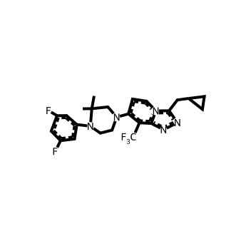 CC1(C)CN(c2ccn3c(CC4CC4)nnc3c2C(F)(F)F)CCN1c1cc(F)cc(F)c1